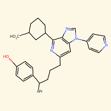 CCCC(CCCc1cc2c(ncn2-c2ccncc2)c(C2CCCC(C(=O)O)C2)n1)c1ccc(O)cc1